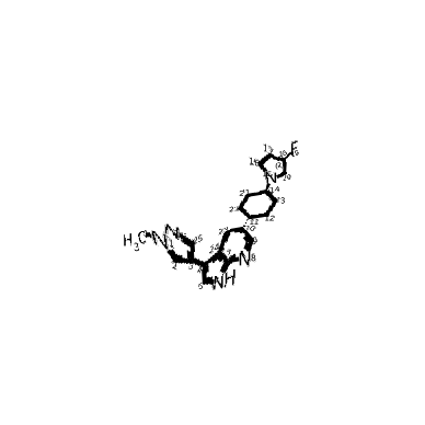 Cn1cc(-c2c[nH]c3ncc([C@H]4CC[C@H](N5CC[C@@H](F)C5)CC4)cc23)cn1